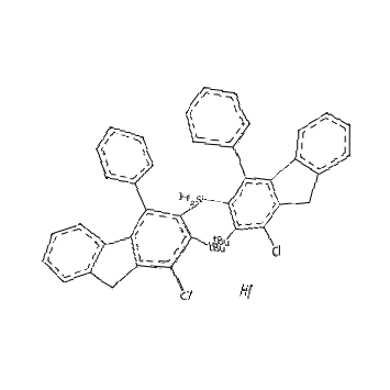 CC(C)(C)c1c(Cl)c2c(c(-c3ccccc3)c1[SiH2]c1c(-c3ccccc3)c3c(c(Cl)c1C(C)(C)C)Cc1ccccc1-3)-c1ccccc1C2.[Hf]